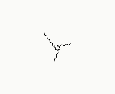 CCCCCCCC[n+]1cc(CCCCC)cc(CCCCC)c1